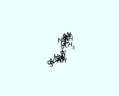 Cc1c(C(=O)Nc2nnc(-c3ccccn3)[nH]2)oc2ccc(-c3ccc(-c4nnc(NC(=O)CCCc5nc6ccccc6s5)[nH]4)nc3)cc12